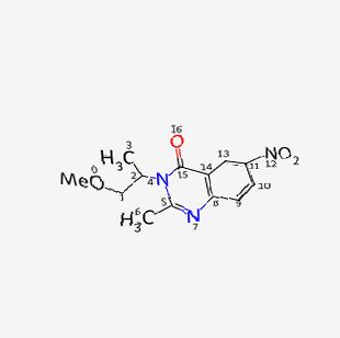 COCC(C)n1c(C)nc2ccc([N+](=O)[O-])cc2c1=O